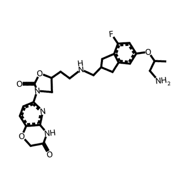 CC(CN)Oc1cc(F)c2c(c1)CC(CNCCC1CN(c3ccc4c(n3)NC(=O)CO4)C(=O)O1)C2